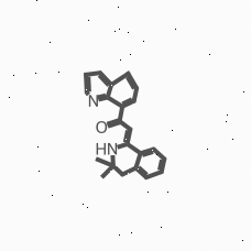 CC1(C)Cc2ccccc2C(=CC(=O)c2cccc3cccnc23)N1